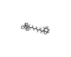 Cl[Si](Cl)(Cl)CCCCCCCCC1CCCCO1